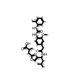 COc1cc(CC(=O)NC(CC(C)C)c2coc(CC(C)C(=O)O)n2)ccc1NC(=O)Nc1ccccc1C